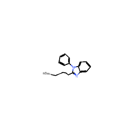 CCCCCCCCCCCCCc1nc2ccccc2n1-c1ccccc1